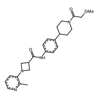 COCC(=O)N1CCC(c2ccc(NC(=O)C3CN(c4cccnc4C)C3)cc2)CC1